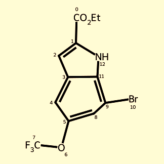 CCOC(=O)c1cc2cc(OC(F)(F)F)cc(Br)c2[nH]1